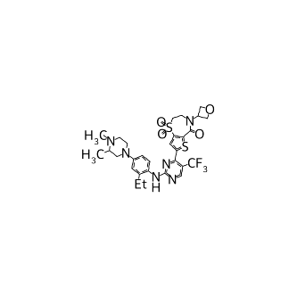 CCc1cc(N2CCN(C)C(C)C2)ccc1Nc1ncc(C(F)(F)F)c(-c2cc3c(s2)C(=O)N(C2COC2)CCS3(=O)=O)n1